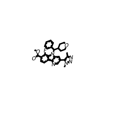 COC(=O)c1ccc2c3ncc(-c4c(C)nnn4C)cc3n(C(c3ccccc3)C3CCOCC3)c2c1F